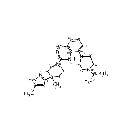 Cc1cc(C2(C)CCN(C(=O)Nc3c(F)cccc3N3CCN(C(C)C)CC3)CC2)no1